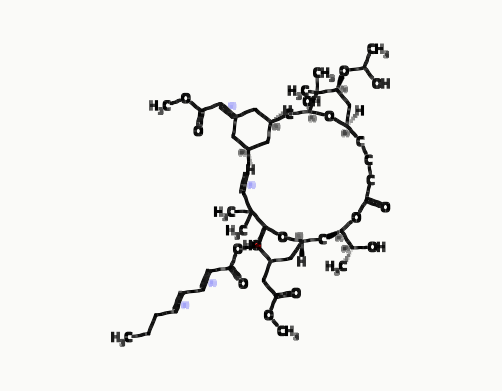 CCC/C=C/C=C/C(=O)OC1C(CC(=O)OC)C[C@H]2C[C@H]([C@@H](C)O)OC(=O)CCC[C@@H]3C[C@H](OC(C)O)C(C)(C)[C@](O)(C[C@@H]4C/C(=C/C(=O)OC)C[C@H](/C=C/C(C)(C)C1(O)O2)C4)O3